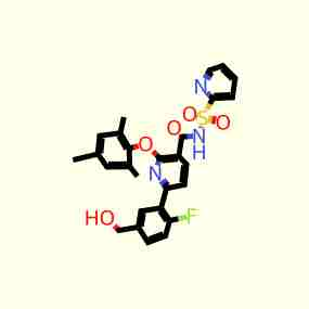 Cc1cc(C)c(Oc2nc(-c3cc(CO)ccc3F)ccc2C(=O)NS(=O)(=O)c2ccccn2)c(C)c1